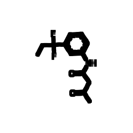 CCC(F)(F)c1cccc(NC(=O)CC(C)=O)c1